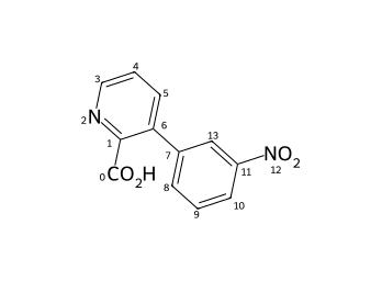 O=C(O)c1ncccc1-c1cccc([N+](=O)[O-])c1